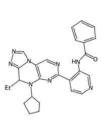 CCC1c2nncn2-c2cnc(-c3ccncc3NC(=O)c3ccccc3)nc2N1C1CCCC1